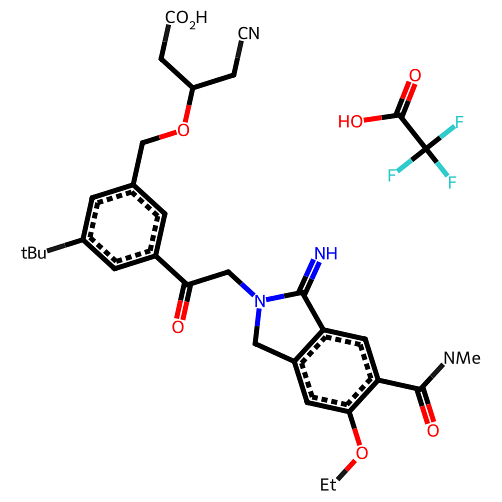 CCOc1cc2c(cc1C(=O)NC)C(=N)N(CC(=O)c1cc(COC(CC#N)CC(=O)O)cc(C(C)(C)C)c1)C2.O=C(O)C(F)(F)F